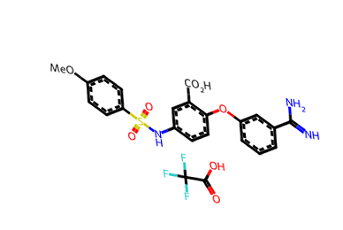 COc1ccc(S(=O)(=O)Nc2ccc(Oc3cccc(C(=N)N)c3)c(C(=O)O)c2)cc1.O=C(O)C(F)(F)F